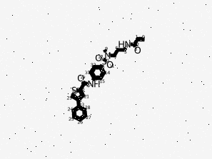 C=CC(=O)NCCCN(C)S(=O)(=O)c1ccc(NC(=O)c2cc(-c3ccccc3)cs2)cc1